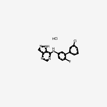 Cl.Fc1ccc(Nc2ncnc3cn[nH]c23)cc1-c1cccc(Cl)c1